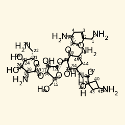 NCC1=CC[C@@H](N)[C@@H](O[C@H]2[C@H](O[C@@H]3O[C@H](CO)[C@@H](O[C@H]4O[C@@H](CN)[C@@H](O)[C@H](O)[C@H]4N)[C@H]3O)[C@@H](O)[C@H](NC(=O)C3(O)CC(N)C3)C[C@@H]2N)O1